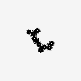 CN1C(c2ccccc2)=NC(c2ccccc2)=NC1c1ccc2oc(-c3ccc(-n4c5ccccc5c5cc(-c6cccc7c6oc6ccccc67)ccc54)cc3)nc2c1